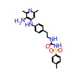 Cc1ccc(S(=O)(=O)NC(=O)NCCc2ccc(Nc3cc(C)nc(C)c3N)cc2)cc1